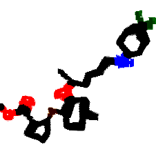 COC(=O)[C@H]1CCC[C@@H]1Sc1ccc(C)cc1O[C@H](C)CCCCNC1CCC(F)(F)CC1